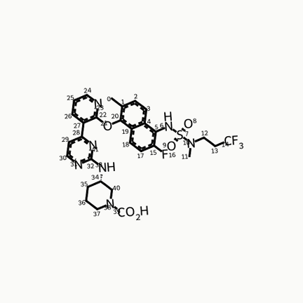 Cc1ccc2c(NS(=O)(=O)N(C)CCC(F)(F)F)c(F)ccc2c1Oc1ncccc1-c1ccnc(N[C@H]2CCCN(C(=O)O)C2)n1